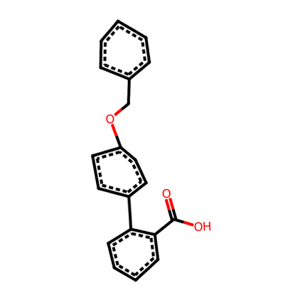 O=C(O)c1ccccc1-c1ccc(OCc2ccccc2)cc1